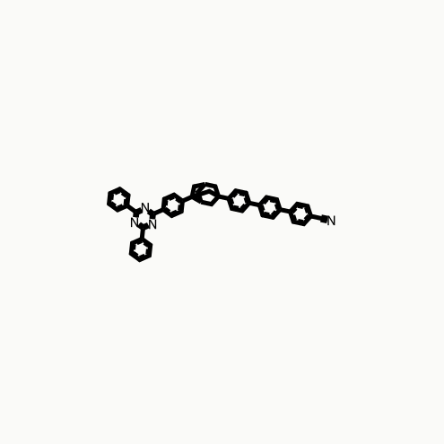 N#Cc1ccc(-c2ccc(-c3ccc(C45CC6CC(C4)C(c4ccc(-c7nc(-c8ccccc8)nc(-c8ccccc8)n7)cc4)(C6)C5)cc3)cc2)cc1